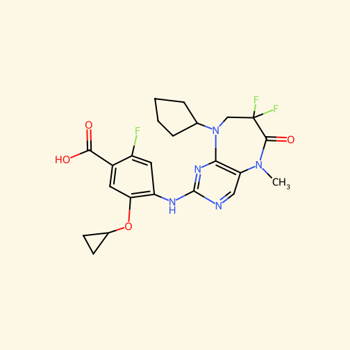 CN1C(=O)C(F)(F)CN(C2CCCC2)c2nc(Nc3cc(F)c(C(=O)O)cc3OC3CC3)ncc21